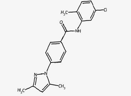 Cc1cc(C)n(-c2ccc(C(=O)Nc3cc(Cl)ccc3C)cc2)n1